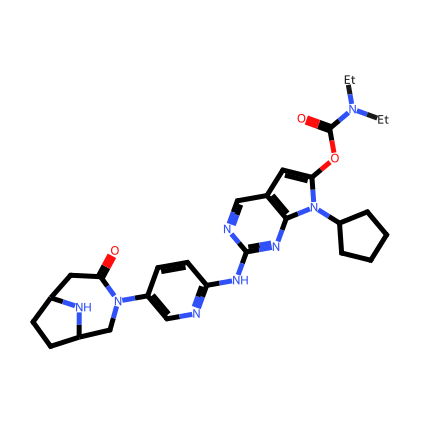 CCN(CC)C(=O)Oc1cc2cnc(Nc3ccc(N4CC5CCC(CC4=O)N5)cn3)nc2n1C1CCCC1